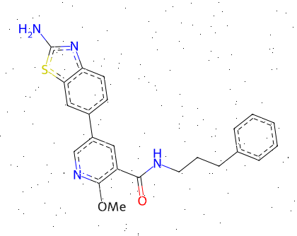 COc1ncc(-c2ccc3nc(N)sc3c2)cc1C(=O)NCCCc1ccccc1